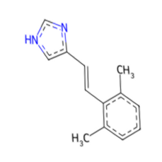 Cc1cccc(C)c1C=Cc1c[nH]cn1